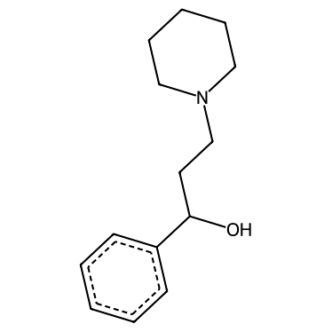 OC(CCN1CCCCC1)c1ccccc1